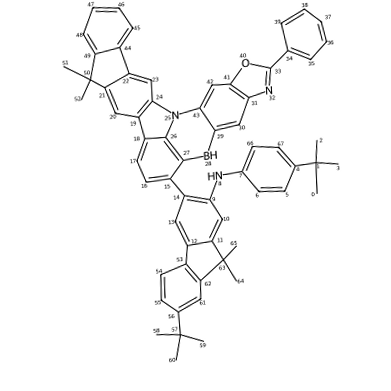 CC(C)(C)c1ccc(Nc2cc3c(cc2-c2ccc4c5cc6c(cc5n5c4c2Bc2cc4nc(-c7ccccc7)oc4cc2-5)-c2ccccc2C6(C)C)-c2ccc(C(C)(C)C)cc2C3(C)C)cc1